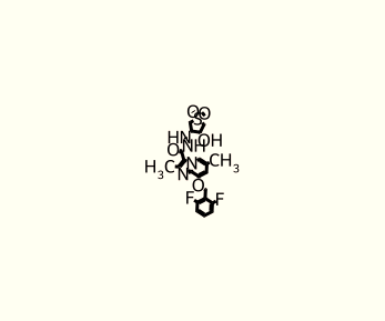 Cc1cc(OCc2c(F)cccc2F)c2nc(C)c(C(=O)NNC3CS(=O)(=O)CC3O)n2c1